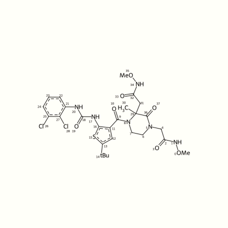 CONC(=O)CN1CCN(C(=O)c2cc(C(C)(C)C)sc2NC(=O)Nc2cccc(Cl)c2Cl)C(C)(CC(=O)NOC)C1=O